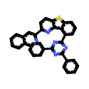 c1ccc(-c2nc(-c3ccccc3)nc(-c3cccc4sc5ccc(-c6cc7ccccc7cn6)nc5c34)n2)cc1